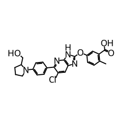 Cc1ccc(Oc2nc3cc(Cl)c(-c4ccc(N5CCCC5CO)cc4)nc3[nH]2)cc1C(=O)O